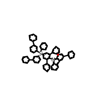 c1ccc(-c2cccc([Si](c3ccccc3)(c3cccc(-c4ccccc4)c3)c3cc(-c4ccccc4)c(-n4c5ccccc5c5cc(-c6ccccc6)ccc54)c(-c4ccccc4)c3)c2)cc1